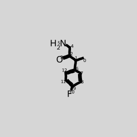 CC(C(=O)CN)c1ccc(F)cc1